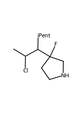 CCCC(C)C(C(C)Cl)C1(F)CCNC1